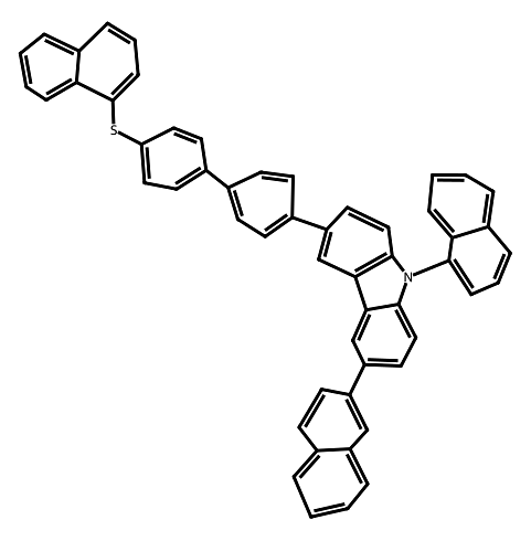 c1ccc2cc(-c3ccc4c(c3)c3cc(-c5ccc(-c6ccc(Sc7cccc8ccccc78)cc6)cc5)ccc3n4-c3cccc4ccccc34)ccc2c1